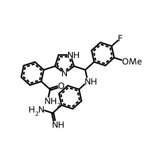 COc1cc(C(Nc2ccc(C(=N)N)cc2)c2nc(-c3ccccc3C(N)=O)c[nH]2)ccc1F